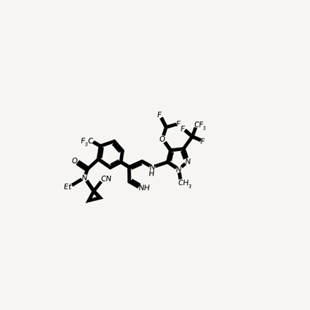 CCN(C(=O)c1cc(/C(C=N)=C/Nc2c(OC(F)F)c(C(F)(F)C(F)(F)F)nn2C)ccc1C(F)(F)F)C1(C#N)CC1